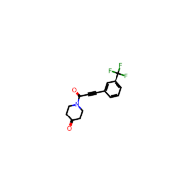 O=C1CCN(C(=O)C#Cc2cccc(C(F)(F)F)c2)CC1